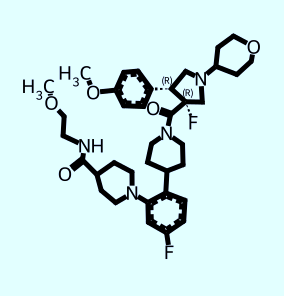 COCCNC(=O)C1CCN(c2cc(F)ccc2C2CCN(C(=O)[C@]3(F)CN(C4CCOCC4)C[C@H]3c3ccc(OC)cc3)CC2)CC1